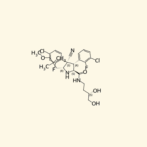 COCC(C)(C)C[C@H]1N[C@H](C(=O)NCC[C@H](O)CO)[C@@H](c2cccc(Cl)c2F)[C@]1(C#N)c1ccc(Cl)cc1F